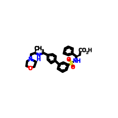 C[C@@H](CN1CCOCC1)NCc1ccc(-c2cccc(S(=O)(=O)N[C@H](CC(=O)O)c3ccccc3)c2)cc1